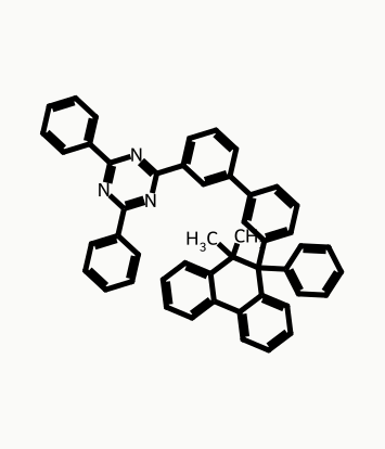 CC1(C)c2ccccc2-c2ccccc2C1(c1ccccc1)c1cccc(-c2cccc(-c3nc(-c4ccccc4)nc(-c4ccccc4)n3)c2)c1